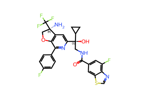 N[C@@]1(C(F)(F)F)COc2c1cc([C@@](O)(CNC(=O)c1cc(F)c3ncsc3c1)C1CC1)nc2-c1ccc(F)cc1